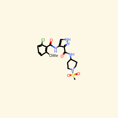 COc1cccc(Cl)c1C(=O)Nc1c[nH]nc1C(=O)NC1CCN(S(C)(=O)=O)CC1